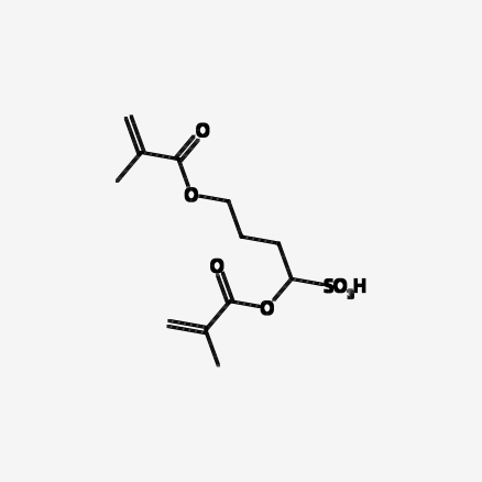 C=C(C)C(=O)OCCCC(OC(=O)C(=C)C)S(=O)(=O)O